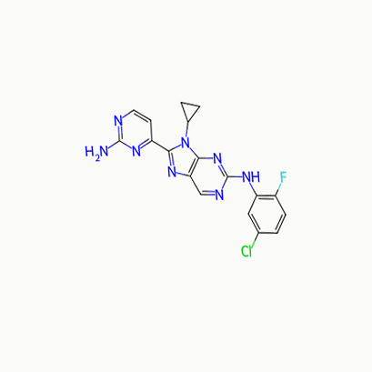 Nc1nccc(-c2nc3cnc(Nc4cc(Cl)ccc4F)nc3n2C2CC2)n1